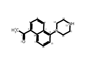 CC(=O)c1cccc2c(N3CCNCC3)cccc12